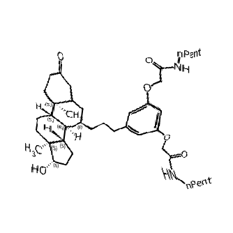 CCCCCNC(=O)COc1cc(CCC[C@@H]2CC3CC(=O)CC[C@]3(C)[C@H]3CC[C@]4(C)[C@@H](O)CC[C@H]4[C@H]23)cc(OCC(=O)NCCCCC)c1